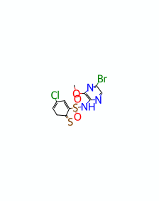 COc1nc(Br)cnc1NS(=O)(=O)C1=CC(Cl)=CCC1=S